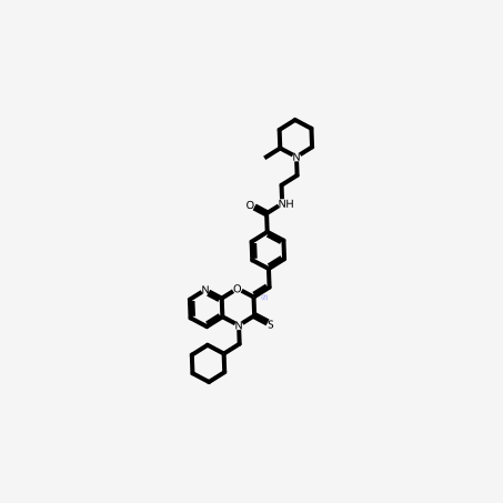 CC1CCCCN1CCNC(=O)c1ccc(/C=C2\Oc3ncccc3N(CC3CCCCC3)C2=S)cc1